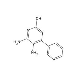 Nc1nc(O)cc(-c2ccccc2)c1N